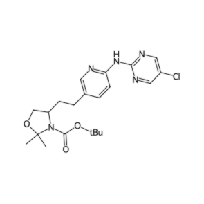 CC(C)(C)OC(=O)N1C(CCc2ccc(Nc3ncc(Cl)cn3)nc2)COC1(C)C